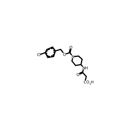 O=C(O)CC(=O)NC1CCN(C(=O)OCc2ccc(Cl)cc2)CC1